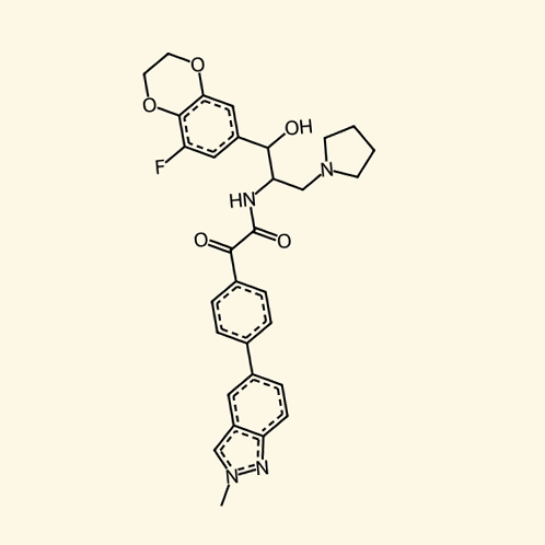 Cn1cc2cc(-c3ccc(C(=O)C(=O)NC(CN4CCCC4)C(O)c4cc(F)c5c(c4)OCCO5)cc3)ccc2n1